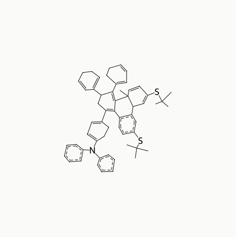 CC(C)(C)SC1=CC2c3cc(SC(C)(C)C)ccc3C3=C(C4=CC=C(N(c5ccccc5)c5ccccc5)CC4)CC(C4=CCCC=C4)C(C4=CC=CCC4)=C3C2(C)C=C1